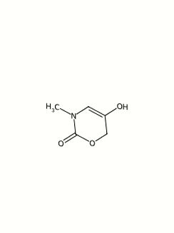 CN1C=C(O)COC1=O